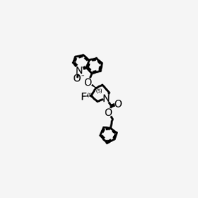 O=C(OCc1ccccc1)N1CC[C@H](Oc2cccc3ccc[n+]([O-])c23)[C@@H](F)C1